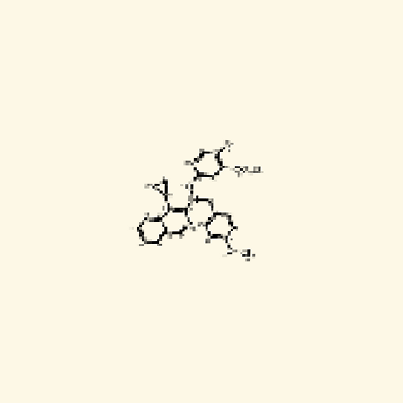 CCOC(=O)c1cc(ON(Cc2ccc(OC(F)(F)F)cc2)c2ncc3ccccc3c2C2CC2)ccc1Br